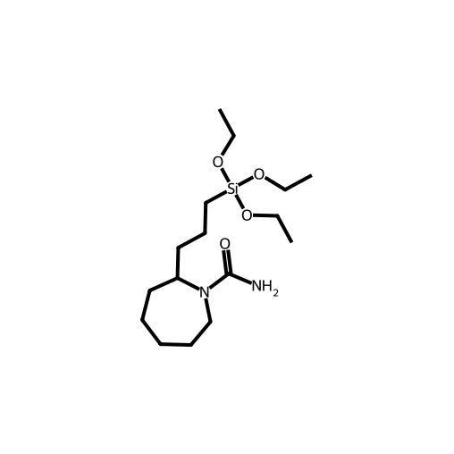 CCO[Si](CCCC1CCCCCN1C(N)=O)(OCC)OCC